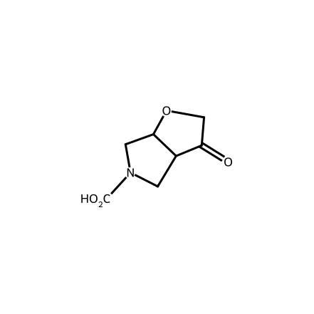 O=C1COC2CN(C(=O)O)CC12